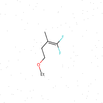 CCOCCC(C)=C(F)F